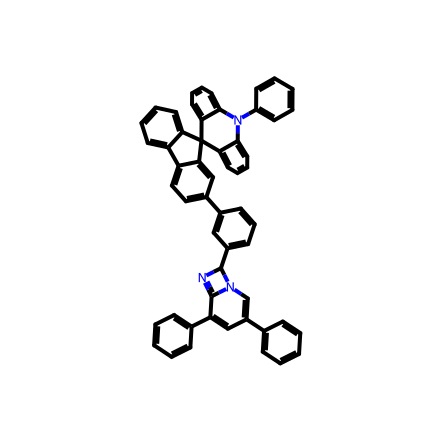 C1=C(c2ccccc2)C=C(c2ccccc2)C2=NC(c3cccc(-c4ccc5c(c4)C4(c6ccccc6-5)c5ccccc5N(c5ccccc5)c5ccccc54)c3)N12